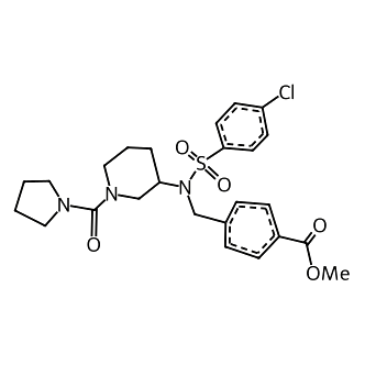 COC(=O)c1ccc(CN(C2CCCN(C(=O)N3CCCC3)C2)S(=O)(=O)c2ccc(Cl)cc2)cc1